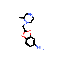 CC1CNCCN1CC1Oc2ccc(N)cc2O1